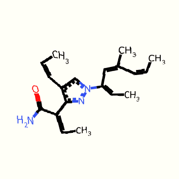 C\C=C/C(C)=C\C(=C/C)n1cc(/C=C\C)c(/C(=C\C)C(N)=O)n1